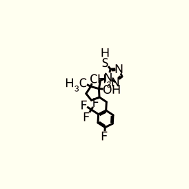 CC1(C)CCC(Cc2ccc(F)cc2C(F)(F)F)C1(O)Cn1ncnc1S